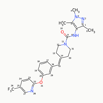 Cc1nn(C)c(C)c1NC(=O)N1CCC(=Cc2cccc(Oc3ccc(C(F)(F)F)cn3)c2)CC1